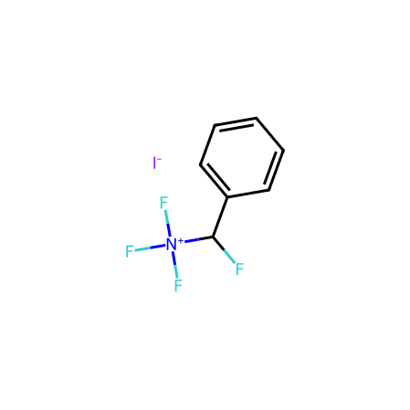 FC(c1ccccc1)[N+](F)(F)F.[I-]